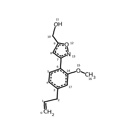 C=CCc1ccc(-c2cc(CO)on2)c(OC)c1